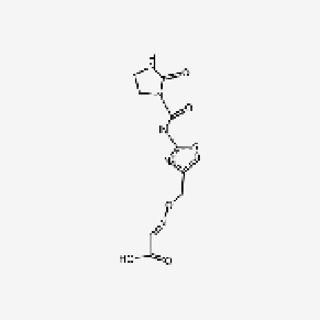 O=C(O)C=NOCc1csc(NC(=O)N2CCNC2=O)n1